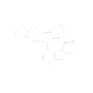 Brc1ccc(-n2c3ccccc3c3cc4ccccc4cc32)c2c1oc1ccccc12